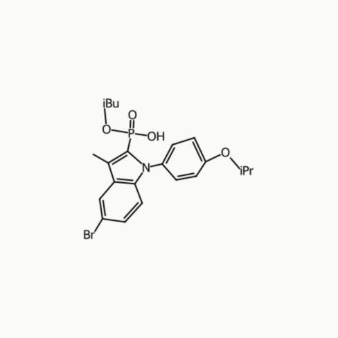 CCC(C)OP(=O)(O)c1c(C)c2cc(Br)ccc2n1-c1ccc(OC(C)C)cc1